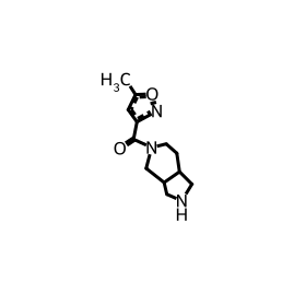 Cc1cc(C(=O)N2CCC3CNCC3C2)no1